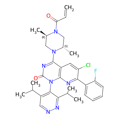 C=CC(=O)N1C[C@H](C)N(c2nc(=O)n(-c3c(C(C)C)cnnc3C(C)C)c3nc(-c4ccccc4F)c(Cl)cc23)C[C@H]1C